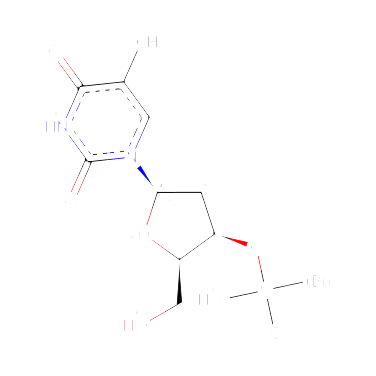 Cc1cn([C@H]2C[C@@H](O[Si](C)(C)C(C)(C)C)[C@@H](CO)O2)c(=O)[nH]c1=O